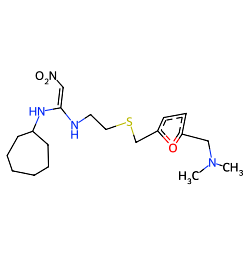 CN(C)Cc1ccc(CSCCN/C(=C/[N+](=O)[O-])NC2CCCCCC2)o1